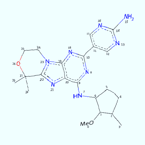 COC1C(C)CCC1Nc1nc(-c2cnc(N)nc2)nc2c1nc1n2CCOC1(C)C